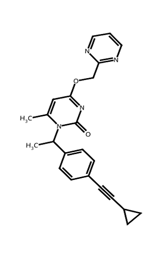 Cc1cc(OCc2ncccn2)nc(=O)n1C(C)c1ccc(C#CC2CC2)cc1